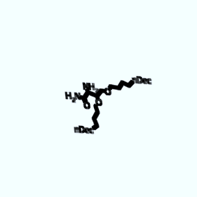 CCCCCCCCCCCCCCOCC(OCCCCCCCCCCCCCC)C(N)C(N)=O